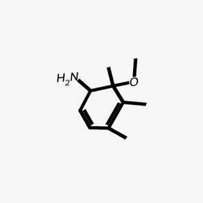 COC1(C)C(C)=C(C)C=CC1N